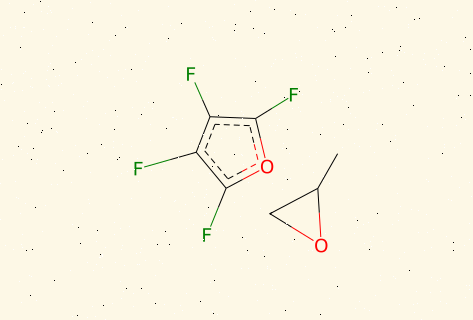 CC1CO1.Fc1oc(F)c(F)c1F